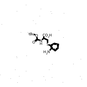 CC(C)(C)OC(=O)NC(CSc1ccccc1N)C(=O)O